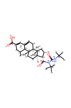 CC1CC(C(=O)O)=CC2=CC[C@H]3[C@@H]4CC[C@H](C(=O)N(C(=O)NC(C)(C)C)C(C)(C)C)[C@@]4(C)CC[C@@H]3[C@]21C